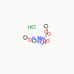 Cl.NC(=O)[C@@H](CCC(=O)OCc1ccccc1)NC(=O)[C@@H](N)Cc1ccc(OCc2ccccc2)cc1